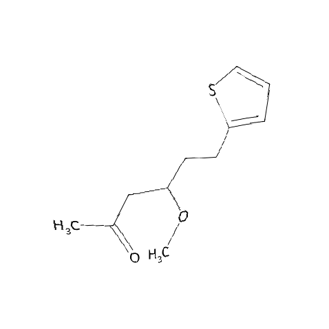 COC(CCc1cccs1)CC(C)=O